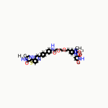 C[C@@H]1CNc2c(sc3ccc4nc(-c5ccc(C6CCC(NC(=O)COCCOCCc7ccc8c(c7)n(C)c(=O)n8C7CCC(=O)NC7=O)CC6)cc5)ccc4c23)C(=O)N1